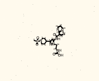 CS(=O)(=O)N1CCC(c2cc(NC(=O)c3cnn4cccnc34)n(CCNC(=O)O)n2)CC1